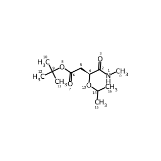 CNC(=O)[C@H](CC(=O)OC(C)(C)C)OC(C)C